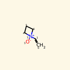 C=C[N+]1([O-])CCC1